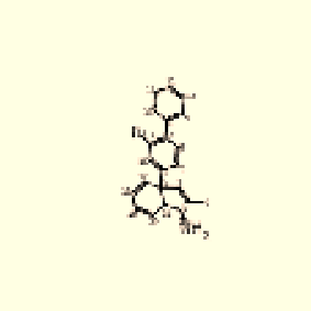 CC=CC1(c2ccc(-c3ccccc3)c(F)c2)C=CC=CC1CN